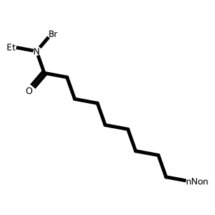 CCCCCCCCCCCCCCCCCC(=O)N(Br)CC